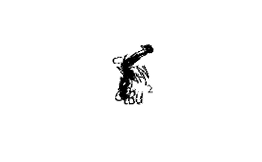 CC(C)(C)OC(=O)N1CCCC(c2nn(-c3ccc(OCc4ccccn4)c(Cl)c3)c(C#N)c2N)C1